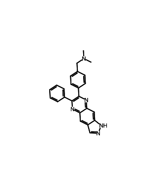 CN(C)Cc1ccc(-c2nc3cc4[nH]ncc4cc3nc2-c2ccccc2)cc1